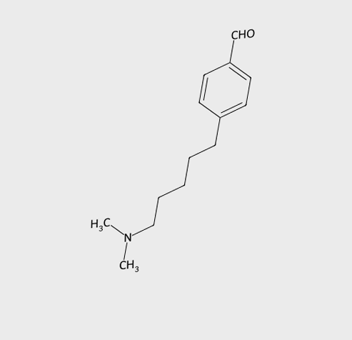 CN(C)CCCCCc1ccc(C=O)cc1